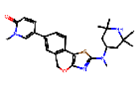 CN(c1nc2c(s1)-c1ccc(-c3ccc(=O)n(C)c3)cc1CO2)C1CC(C)(C)NC(C)(C)C1